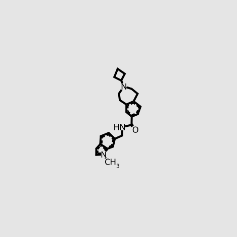 Cn1ccc2ccc(CNC(=O)c3ccc4c(c3)CCN(C3CCC3)CC4)cc21